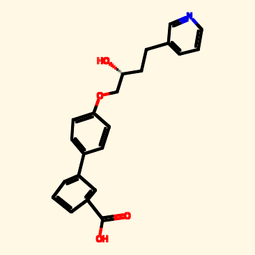 O=C(O)c1cccc(-c2ccc(OC[C@H](O)CCc3cccnc3)cc2)c1